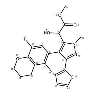 COC(=O)C(O)c1c(-c2cc(F)c3c(c2C)CCCO3)c(-c2cccs2)nn1C